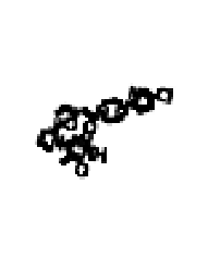 Cc1c(N2CCC[C@H]2[C@@H]2CC[C@@H](CC(=O)N3CCN(c4ccc(Cl)cn4)CC3)O2)cn[nH]c1=O